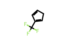 FC(F)(F)C1=CCC=C1